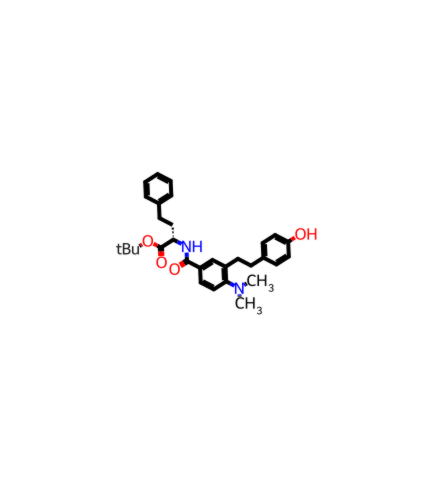 CN(C)c1ccc(C(=O)N[C@@H](CCc2ccccc2)C(=O)OC(C)(C)C)cc1CCc1ccc(O)cc1